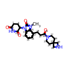 Cn1c(=O)n(C2CCC(=O)NC2=O)c2cccc(CCC(=O)N3CCC4(CC3)CNC4)c21